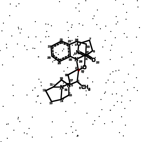 CC(COC1=NOCC1)N1CC2CCC(C1)N2CCCN1C(=O)CCc2ccccc21